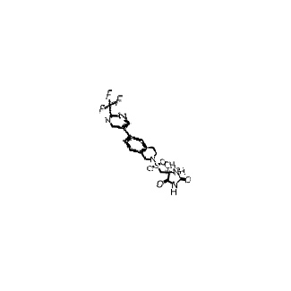 C[C@]1(CS(=O)(=O)N2CCc3cc(-c4cnc(C(F)(F)F)nc4)ccc3C2)NC(=O)NC1=O